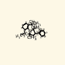 CCC1CC=CC(C(C)(C)C)=C1N1[C@@H](C)C(c2ccccc2)CC1(C)C